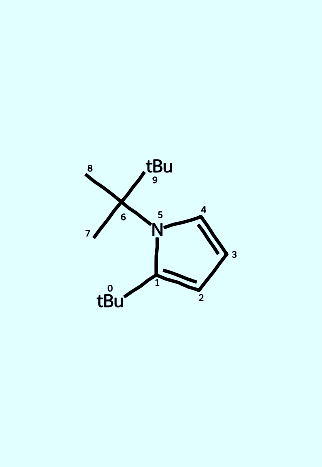 CC(C)(C)c1cccn1C(C)(C)C(C)(C)C